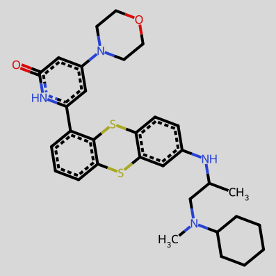 CC(CN(C)C1CCCCC1)Nc1ccc2c(c1)Sc1cccc(-c3cc(N4CCOCC4)cc(=O)[nH]3)c1S2